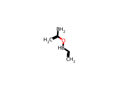 BC(=C)OBC=C